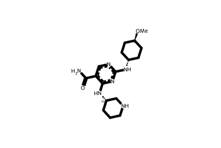 CO[C@H]1CC[C@H](Nc2ncc(C(N)=O)c(N[C@H]3CCCNC3)n2)CC1